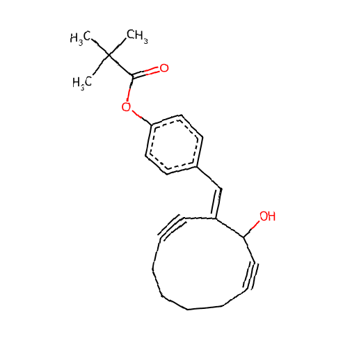 CC(C)(C)C(=O)Oc1ccc(/C=C2\C#CCCCCC#CC2O)cc1